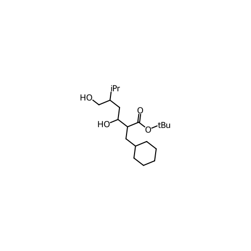 CC(C)C(CO)CC(O)C(CC1CCCCC1)C(=O)OC(C)(C)C